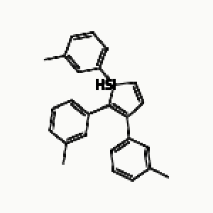 Cc1cccc(C2=C(c3cccc(C)c3)[SiH](c3cccc(C)c3)C=C2)c1